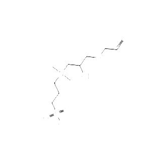 C=CCOCC(O)C[N+](C)(C)CCCS(=O)(=O)[O-]